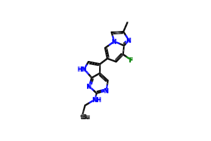 Cc1cn2cc(-c3c[nH]c4nc(NCC(C)(C)C)ncc34)cc(F)c2n1